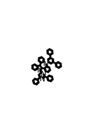 c1ccc(-c2cc(-c3ccccc3)cc(N3c4ccccc4C4c5ccccc5N(c5cc(-c6ccccc6)nc(-c6ccccc6)n5)C4c4ccccc43)c2)cc1